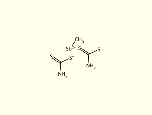 NC(=S)[S-].NC(=S)[S-].[CH3][Sb+2]